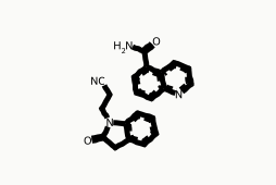 N#CCCN1C(=O)Cc2ccccc21.NC(=O)c1cccc2ncccc12